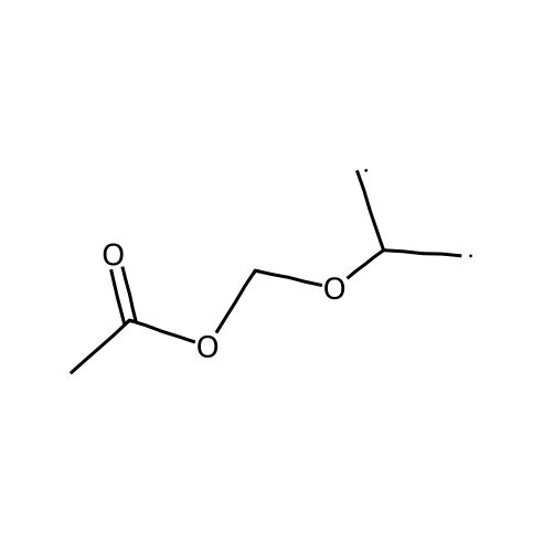 [CH2]C([CH2])OCOC(C)=O